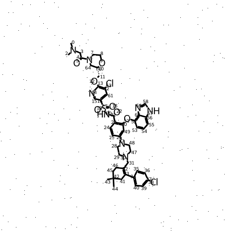 CN(C)CC(=O)N1CCO[C@H](COc2ncc(S(=O)(=O)NC(=O)c3ccc(N4CCN(CC5=C(c6ccc(Cl)cc6)CC(C)(C)CC5)CC4)cc3Oc3cccc4[nH]cnc34)cc2Cl)C1